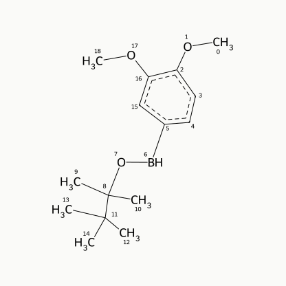 COc1ccc(BOC(C)(C)C(C)(C)C)cc1OC